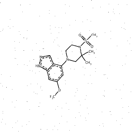 CC1(C)CN(c2cc(OC(F)(F)F)cc3[nH]ncc23)CCN1S(C)(=O)=O